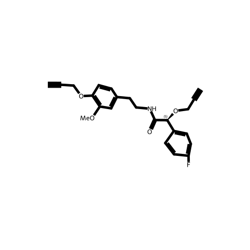 C#CCOc1ccc(CCNC(=O)[C@@H](OCC#C)c2ccc(F)cc2)cc1OC